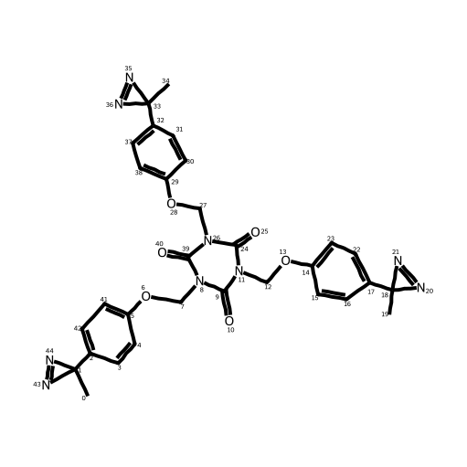 CC1(c2ccc(OCn3c(=O)n(COc4ccc(C5(C)N=N5)cc4)c(=O)n(COc4ccc(C5(C)N=N5)cc4)c3=O)cc2)N=N1